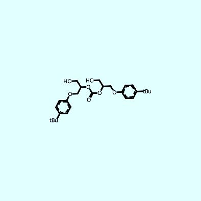 CC(C)(C)c1ccc(OCC(CO)OC(=O)OC(CO)COc2ccc(C(C)(C)C)cc2)cc1